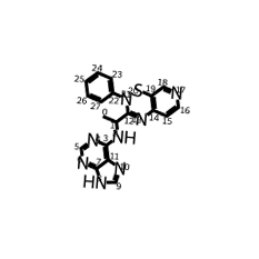 CC(Nc1ncnc2[nH]cnc12)C1=Nc2ccncc2SN1c1ccccc1